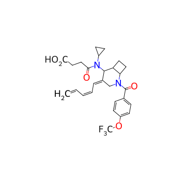 C=C/C=C\C=C1/CN(C(=O)c2ccc(OC(F)(F)F)cc2)C2CCC2C1N(C(=O)CCC(=O)O)C1CC1